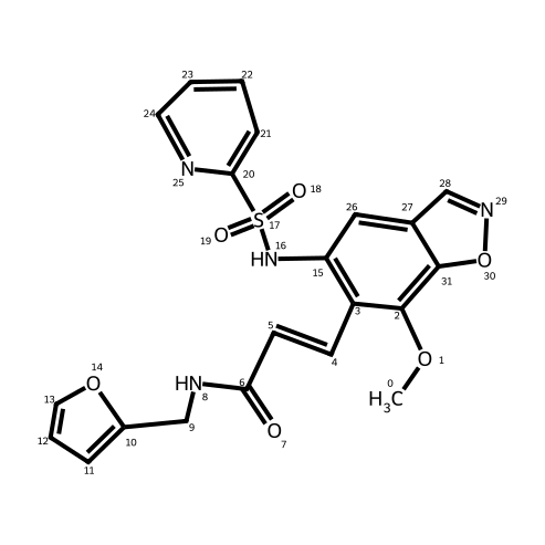 COc1c(/C=C/C(=O)NCc2ccco2)c(NS(=O)(=O)c2ccccn2)cc2cnoc12